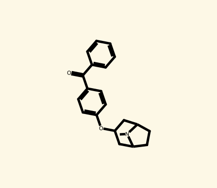 CN1C2CCC1CC(Oc1ccc(C(=O)c3ccccc3)cc1)C2